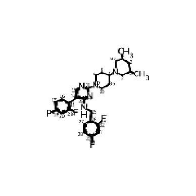 CC1CC(C)CN(C2CCN(c3ncc(-c4ccc(F)cc4F)c(NCc4ccc(F)cc4F)n3)CC2)C1